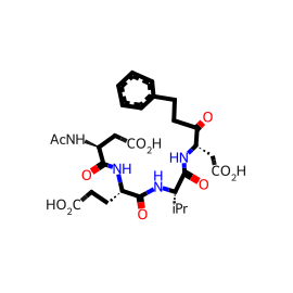 CC(=O)N[C@@H](CC(=O)O)C(=O)N[C@@H](CCC(=O)O)C(=O)N[C@H](C(=O)N[C@@H](CC(=O)O)C(=O)CCc1ccccc1)C(C)C